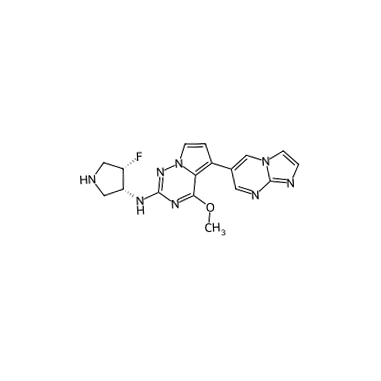 COc1nc(N[C@@H]2CNC[C@@H]2F)nn2ccc(-c3cnc4nccn4c3)c12